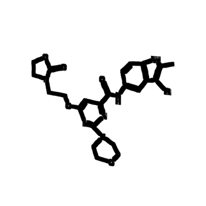 CCc1c(C)[nH]c2ccc(NC(=O)c3cc(OCCN4CCOC4=O)nc(N4CCOCC4)n3)cc12